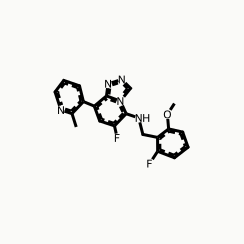 COc1cccc(F)c1CNc1c(F)cc(-c2cccnc2C)c2nncn12